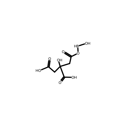 O=C(O)CC(O)(CC(=O)OBO)C(=O)O